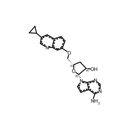 Nc1ncnc2c1ccn2[C@@H]1O[C@H](COc2ccc3cc(C4CC4)cnc3c2)C[C@H]1O